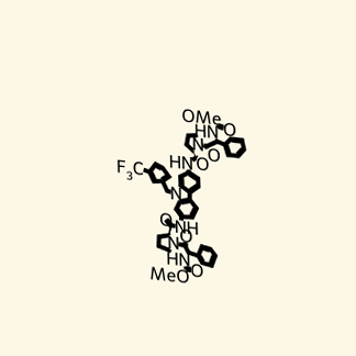 COC(=O)N[C@@H](C(=O)N1CCC[C@H]1C(=O)Nc1ccc2c3ccc(NC(=O)[C@@H]4CCCN4C(=O)[C@H](NC(=O)OC)c4ccccc4)cc3n(Cc3cccc(C(F)(F)F)c3)c2c1)c1ccccc1